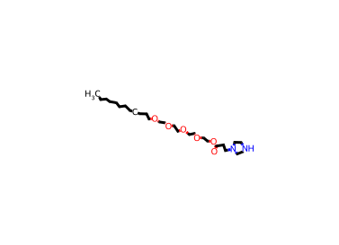 CCCCCCCCCCCCOCCOCCOCCOCCOC(=O)CCN1CCNCC1